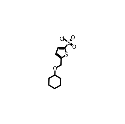 O=S(=O)(Cl)c1ccc(COC2CCCCC2)s1